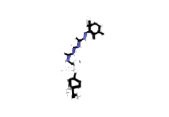 CC1=C(/C=C/C(C)=C/C=C/C(C)=C\C(=O)NCc2ccc(C(F)(F)F)cc2)C(C)(C)CCC1C